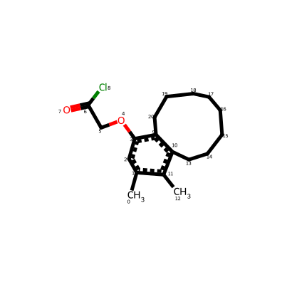 Cc1cc(OCC(=O)Cl)c2c(c1C)CCCCCCCC2